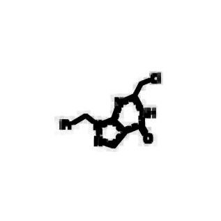 CC(C)Cn1ncc2c(=O)[nH]c(CCl)nc21